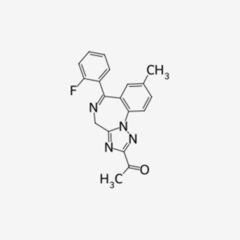 CC(=O)c1nc2n(n1)-c1ccc(C)cc1C(c1ccccc1F)=NC2